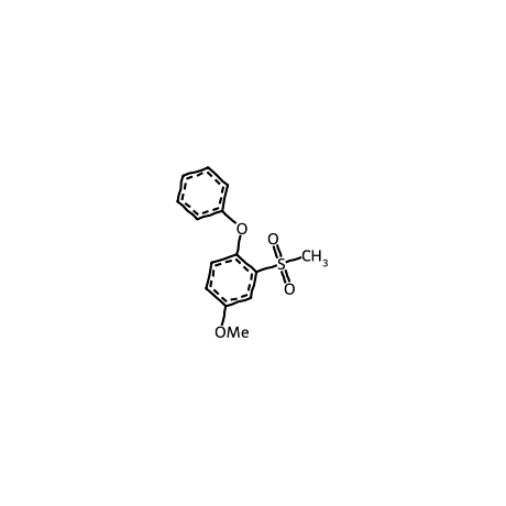 COc1ccc(Oc2ccccc2)c(S(C)(=O)=O)c1